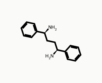 N[C@@H](CC[C@H](N)c1ccccc1)c1ccccc1